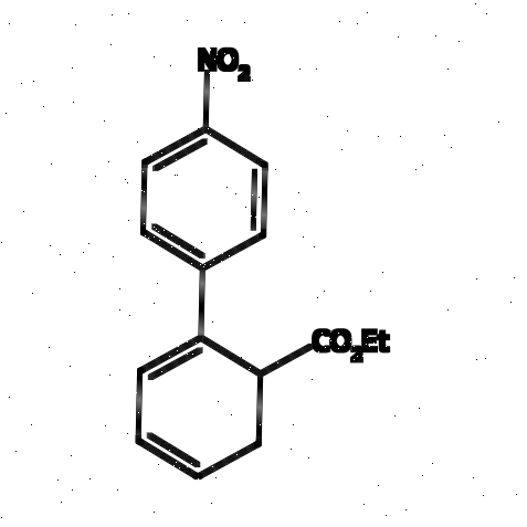 CCOC(=O)C1CC=CC=C1c1ccc([N+](=O)[O-])cc1